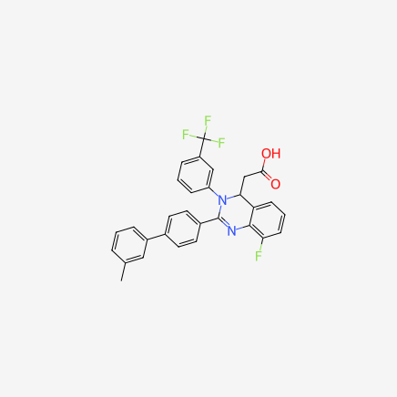 Cc1cccc(-c2ccc(C3=Nc4c(F)cccc4C(CC(=O)O)N3c3cccc(C(F)(F)F)c3)cc2)c1